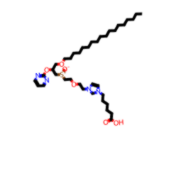 CCCCCCCCCCCCCCCCCCOCC(C[S+]([O-])CCOCCN1C=CN(CCCCCC(=O)O)C1)Oc1ncccn1